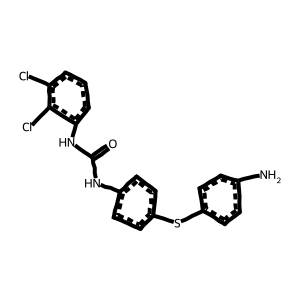 Nc1ccc(Sc2ccc(NC(=O)Nc3cccc(Cl)c3Cl)cc2)cc1